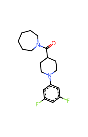 O=C(C1CCN(c2cc(F)cc(F)c2)CC1)N1CCCCCC1